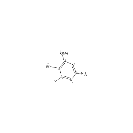 COc1cc(N)nc(C)c1C(C)C